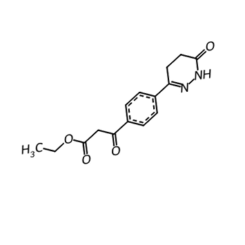 CCOC(=O)CC(=O)c1ccc(C2=NNC(=O)CC2)cc1